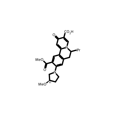 COC(=O)c1cc2c(cc1N1CC[C@@H](OC)C1)CC(C(C)C)n1cc(C(=O)O)c(=O)cc1-2